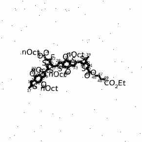 CCCCCCCCOC(=O)c1sc2c(-c3cc4c(OCCCCCCCC)c5sc(C)cc5c(OCCCCCCCC)c4s3)sc(-c3cc4c(OCCCCCCCC)c5sc(-c6sc(C)c7cc(C(=O)OCCCCC(=O)OCC)sc67)cc5c(OCCCCCCCC)c4s3)c2c1F